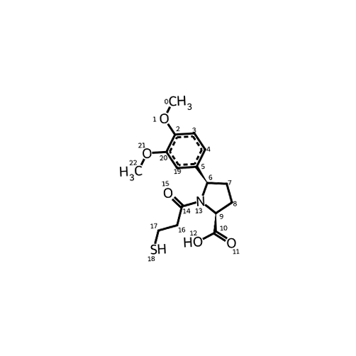 COc1ccc([C@H]2CC[C@@H](C(=O)O)N2C(=O)CCS)cc1OC